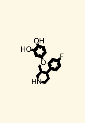 Oc1ccc(OCC2CNCCC2c2ccc(F)cc2)cc1O